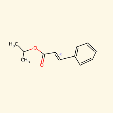 CC(C)OC(=O)/C=C/c1cc[c]cc1